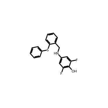 Oc1c(F)cc(NCc2ccccc2Sc2ccccc2)cc1F